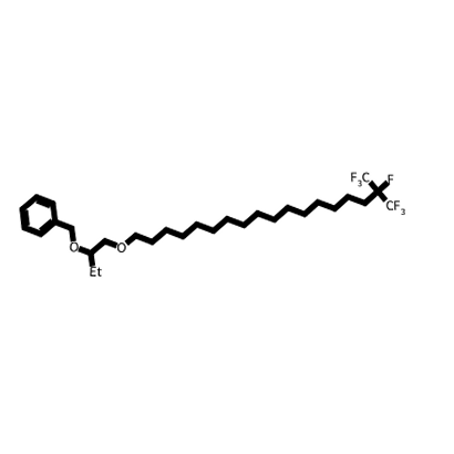 CCC(COCCCCCCCCCCCCCCCCC(F)(C(F)(F)F)C(F)(F)F)OCc1ccccc1